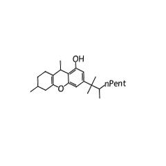 CCCCCC(C)C(C)(C)c1cc(O)c2c(c1)OC1=C(CCC(C)C1)C2C